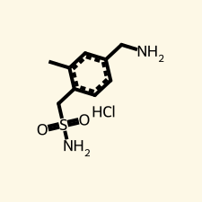 Cc1cc(CN)ccc1CS(N)(=O)=O.Cl